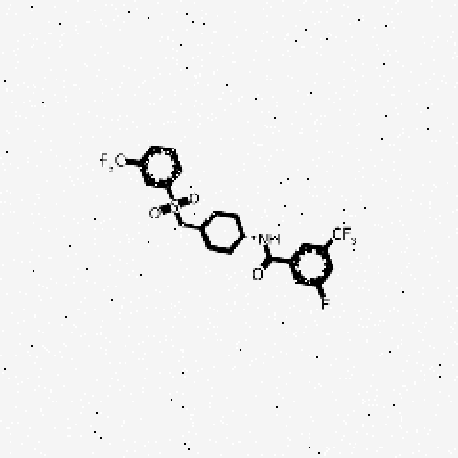 O=C(N[C@H]1CC[C@H](CS(=O)(=O)c2cccc(C(F)(F)F)c2)CC1)c1cc(F)cc(C(F)(F)F)c1